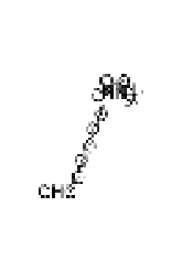 Cc1nc(NC(=O)c2ccccc2NC(=O)CCOCCOCCOCCOCCOCCC=O)sc1C